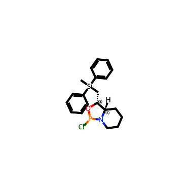 C[Si](C[C@H]1OP(Cl)N2CCCC[C@@H]12)(c1ccccc1)c1ccccc1